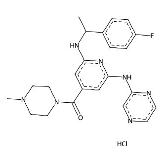 CC(Nc1cc(C(=O)N2CCN(C)CC2)cc(Nc2cnccn2)n1)c1ccc(F)cc1.Cl